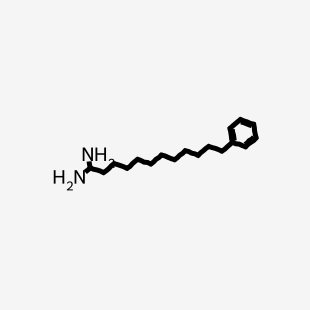 NC(N)CCCCCCCCCCCc1ccccc1